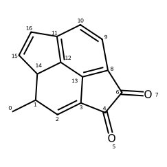 CC1C=C2C(=O)C(=O)c3ccc4c(c32)C1C=C4